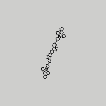 c1ccc(N(c2ccc(-c3ccc4c(c3)sc3cc5cc6c(cc5cc34)sc3cc(-c4ccc(N(c5ccccc5)c5cccc7c5oc5ccccc57)cc4)ccc36)cc2)c2cccc3c2oc2ccccc23)cc1